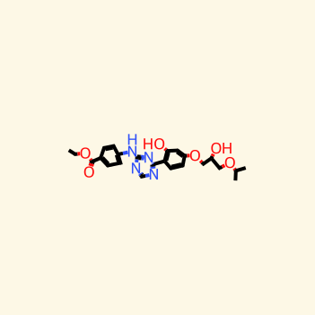 CCOC(=O)c1ccc(Nc2ncnc(-c3ccc(OCC(O)COC(C)C)cc3O)n2)cc1